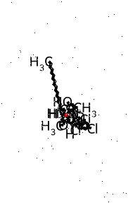 CCCCCCCCCCCCCCCCCC(=O)Nc1ccc(NC2=NN(c3c(Cl)cc(Cl)cc3Cl)C(=O)C2N=Nc2c(C)cc(O)cc2C)c(OC)c1